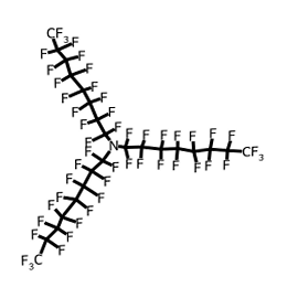 FC(F)(F)C(F)(F)C(F)(F)C(F)(F)C(F)(F)C(F)(F)C(F)(F)C(F)(F)N(C(F)(F)C(F)(F)C(F)(F)C(F)(F)C(F)(F)C(F)(F)C(F)(F)C(F)(F)F)C(F)(F)C(F)(F)C(F)(F)C(F)(F)C(F)(F)C(F)(F)C(F)(F)C(F)(F)F